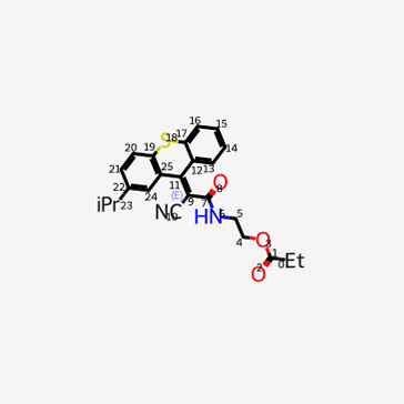 CCC(=O)OCCNC(=O)/C(C#N)=C1\c2ccccc2Sc2ccc(C(C)C)cc21